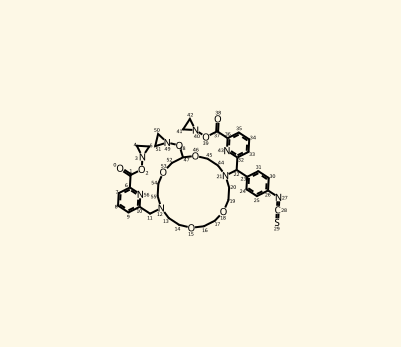 O=C(ON1CC1)c1cccc(CN2CCOCCOCCN(C(c3ccc(N=C=S)cc3)c3cccc(C(=O)ON4CC4)n3)CCOC(ON3CC3)COCC2)n1